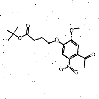 COc1cc(C(C)=O)c([N+](=O)[O-])cc1OCCCC(=O)OC(C)(C)C